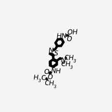 CC(C)OC(=O)Nc1ccc(-c2cnc(C3CCC(NC(=O)O)CC3)s2)c(CN(C)C)c1